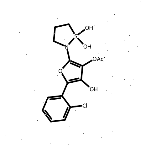 CC(=O)Oc1c(N2CCCS2(O)O)oc(-c2ccccc2Cl)c1O